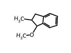 COC1c2ccccc2CC1C